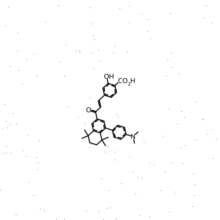 CN(C)c1ccc(-c2cc(C(=O)C=Cc3ccc(C(=O)O)c(O)c3)cc3c2C(C)(C)CCC3(C)C)cc1